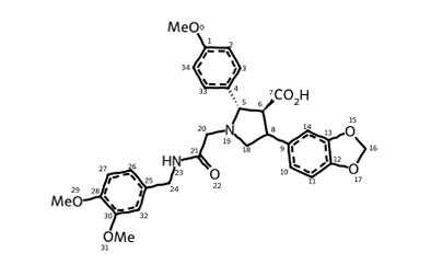 COc1ccc([C@@H]2[C@@H](C(=O)O)C(c3ccc4c(c3)OCO4)CN2CC(=O)NCc2ccc(OC)c(OC)c2)cc1